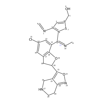 C=Nc1cc(CO)sc1/C(=N\C)c1cc(Cl)cc2c1OC(c1onc3c1CNCC3)C2